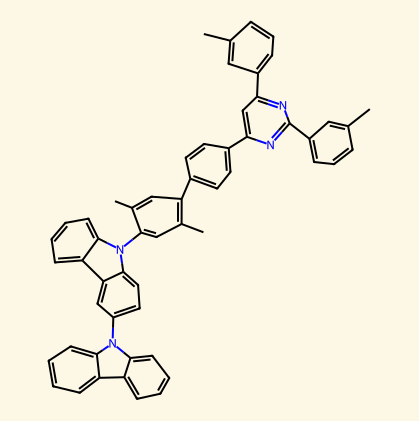 Cc1cccc(-c2cc(-c3ccc(-c4cc(C)c(-n5c6ccccc6c6cc(-n7c8ccccc8c8ccccc87)ccc65)cc4C)cc3)nc(-c3cccc(C)c3)n2)c1